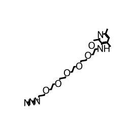 Cc1cc(C)c(NC(=O)COCCOCCOCCOCCOCCN=[N+]=[N-])c(C)n1